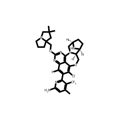 Cc1cc(N)nc(-c2c(Cl)c3c4c(nc(OCC56CCCN5CC(C)(C)C6)nc4c2F)N2C[C@H]4CC[C@H](N4)[C@H]2CO3)c1C(F)(F)F